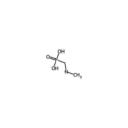 C[N]CP(=O)(O)O